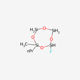 CCC[Si]1(C)O[SiH2]O[SiH2]O[SiH](F)O1